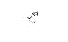 COc1cc(C(=O)N(C)c2ccccc2OC(C=O)N2CCN(C)CC2)ccc1NC(=O)c1cc(C)ccc1-c1ccccc1